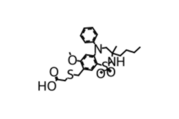 CCCCC1(C)CN(c2ccccc2)c2cc(OC)c(CSCC(=O)O)cc2S(=O)(=O)N1